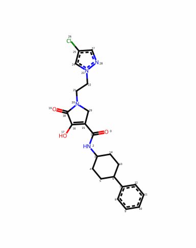 O=C(NC1CCC(c2ccccc2)CC1)C1=C(O)C(=O)N(CCn2cc(Cl)cn2)C1